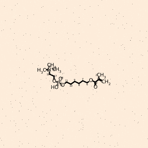 C=C(C)C(=O)OCCCCCCOP(=O)(O)OCC[N+](C)(C)C